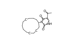 CC(=O)c1c[nH]c(=O)n(C2CCCCCCCCCCCC2)c1=O